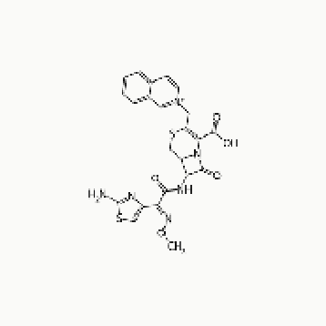 CON=C(C(=O)NC1C(=O)N2C(C(=O)O)=C(C[n+]3ccc4ccccc4c3)SCC12)c1csc(N)n1